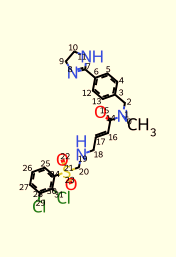 CN(Cc1ccc(C2=NCCN2)cc1)C(=O)C=CCNCS(=O)(=O)c1cccc(Cl)c1Cl